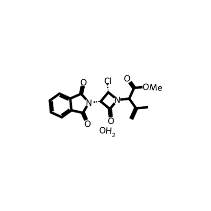 C=C(C)C(C(=O)OC)N1C(=O)[C@H](N2C(=O)c3ccccc3C2=O)[C@@H]1Cl.O